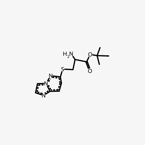 CC(C)(C)OC(=O)C(N)CSc1ccc2nccn2n1